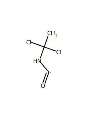 CC(Cl)(Cl)N[C]=O